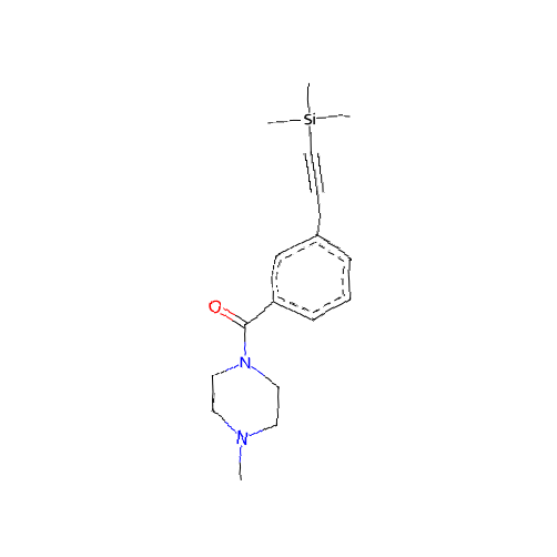 CN1CCN(C(=O)c2cccc(C#C[Si](C)(C)C)c2)CC1